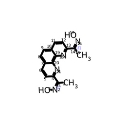 C/C(=N/O)c1ccc2ccc3ccc(/C(C)=N\O)nc3c2n1